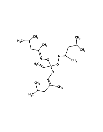 C=C[Si](O/N=C(\C)CC(C)C)(O/N=C(\C)CC(C)C)O/N=C(\C)CC(C)C